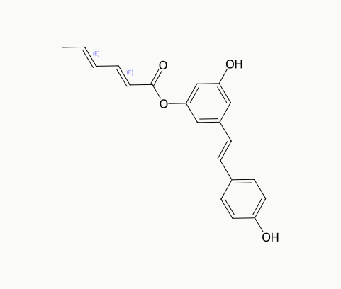 C/C=C/C=C/C(=O)Oc1cc(O)cc(C=Cc2ccc(O)cc2)c1